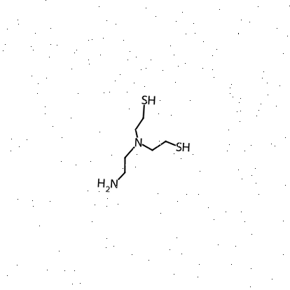 NCCN(CCS)CCS